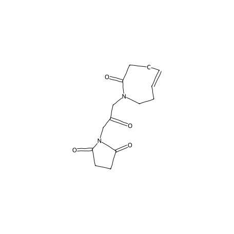 O=C(CN1CC/C=C/CCC1=O)CN1C(=O)CCC1=O